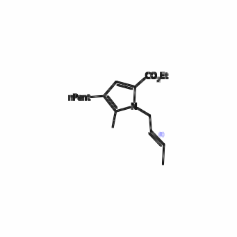 C/C=C/Cn1c(C(=O)OCC)cc(CCCCC)c1C